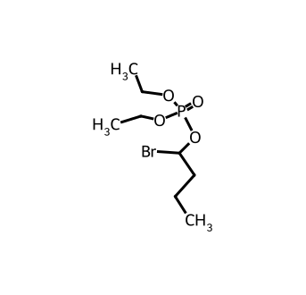 CCCC(Br)OP(=O)(OCC)OCC